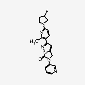 Cc1nc(N2CCC(F)C2)ccc1-c1cc2n(n1)C(=O)N(c1cccnc1)C2